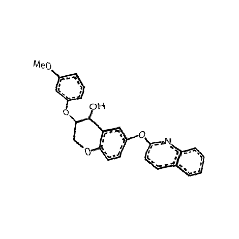 COc1cccc(OC2COc3ccc(Oc4ccc5ccccc5n4)cc3C2O)c1